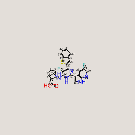 O=C(O)C1C2CCC(CC2)C1NC1NC(c2c[nH]c3ncc(F)cc23)=NC(c2cc3ccccc3s2)=C1F